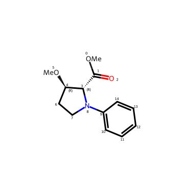 COC(=O)[C@H]1[C@H](OC)CCN1c1ccccc1